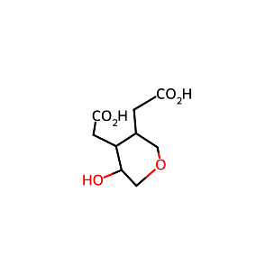 O=C(O)CC1COCC(O)C1CC(=O)O